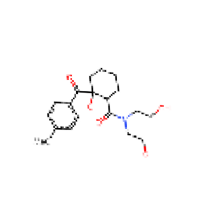 COc1ccc(C(=O)C2(O)CCCCC2C(=O)N(CCO)CCO)cc1